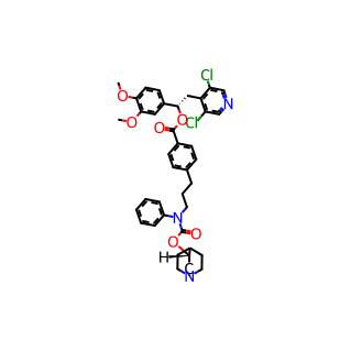 COc1ccc([C@H](Cc2c(Cl)cncc2Cl)OC(=O)c2ccc(CCCN(C(=O)O[C@H]3CN4CCC3CC4)c3ccccc3)cc2)cc1OC